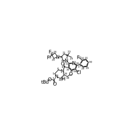 CC(C)(C)OC(=O)N1CCN2C(=O)c3c(N4CC(N5CC(F)(F)C5)CC4(C)C)nc(-c4ccccc4F)c(Cl)c3OC[C@H]2C1